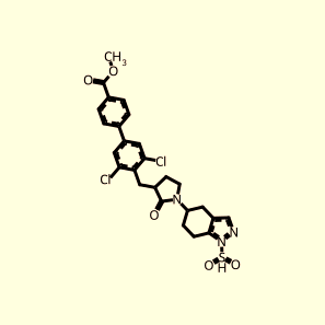 COC(=O)c1ccc(-c2cc(Cl)c(CC3CCN(C4CCc5c(cnn5[SH](=O)=O)C4)C3=O)c(Cl)c2)cc1